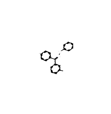 Clc1cccc(/C(=N/Nc2ccccc2)c2ccccc2)c1